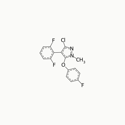 Cn1nc(Cl)c(-c2c(F)cccc2F)c1Oc1ccc(F)cc1